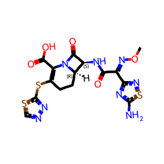 CON=C(C(=O)N[C@@H]1C(=O)N2C(C(=O)O)=C(Sc3nncs3)CC[C@H]12)c1nsc(N)n1